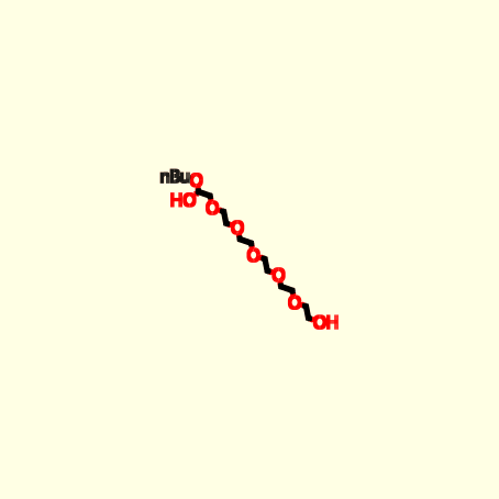 CCCCOC(O)COCCOCCOCCOCCOCCO